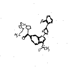 COC(C)[C@@H]1CCCN1C(=O)c1ccc2c([S+](C)[O-])cn(-c3ncc(-c4ccccc4F)cn3)c2c1